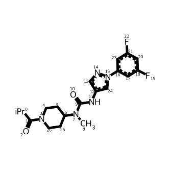 CC(C)C(=O)N1CCC(N(C)C(=O)Nc2cnn(-c3cc(F)cc(F)c3)c2)CC1